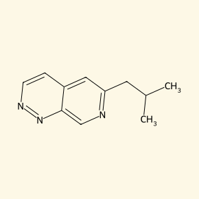 CC(C)Cc1cc2ccnnc2cn1